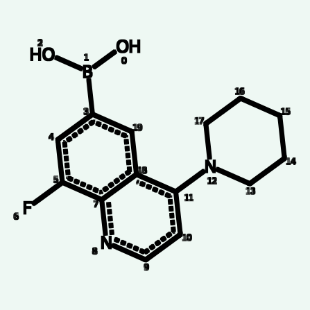 OB(O)c1cc(F)c2nccc(N3CCCCC3)c2c1